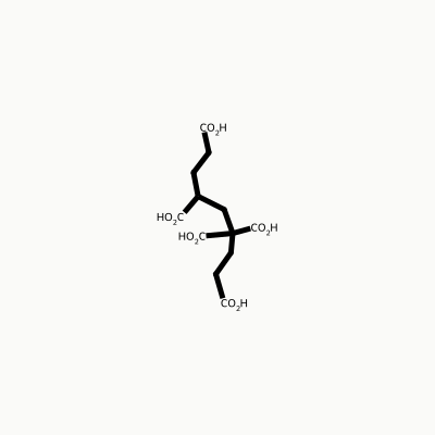 O=C(O)CCC(CC(CCC(=O)O)(C(=O)O)C(=O)O)C(=O)O